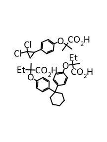 CC(C)(Oc1ccc(C2CC2(Cl)Cl)cc1)C(=O)O.CCC(C)(Oc1ccc(C2(c3ccc(OC(C)(CC)C(=O)O)cc3)CCCCC2)cc1)C(=O)O